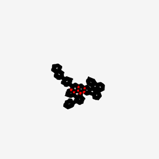 c1ccc(-c2ccccc2-c2c(-c3ccccc3)cccc2N(c2ccc(-c3ccc(-c4ccc5ccccc5c4)cc3)cc2)c2ccc3c(c2)-c2ccccc2C32c3ccccc3-c3ccccc32)cc1